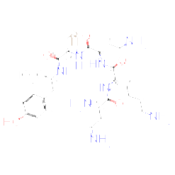 NCCCC[C@H](NC(=O)[C@@H](N)CCN)C(=O)N[C@@H](CCN)C(=O)N[C@@H](CS)C(=O)N[C@@H](Cc1ccc(O)cc1)C(=O)O